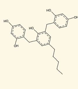 CCCCCc1cc(Cc2ccc(O)cc2O)c(O)c(Cc2ccc(O)cc2O)c1